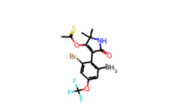 Bc1cc(OC(F)(F)F)cc(Br)c1C1=C(OC(C)=S)C(C)(C)NC1=O